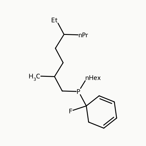 CCCCCCP(CC(C)CCC(CC)CCC)C1(F)C=CC=CC1